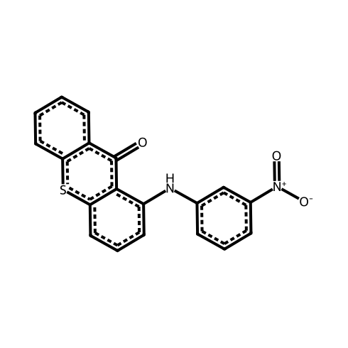 O=c1c2ccccc2sc2cccc(Nc3cccc([N+](=O)[O-])c3)c12